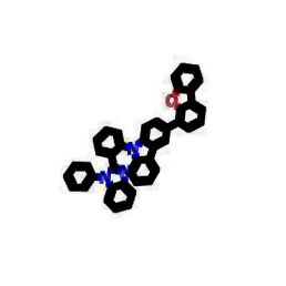 c1ccc(-n2c(-c3ccccc3-n3c4ccccc4c4cc(-c5cccc6c5oc5ccccc56)ccc43)nc3ccccc32)cc1